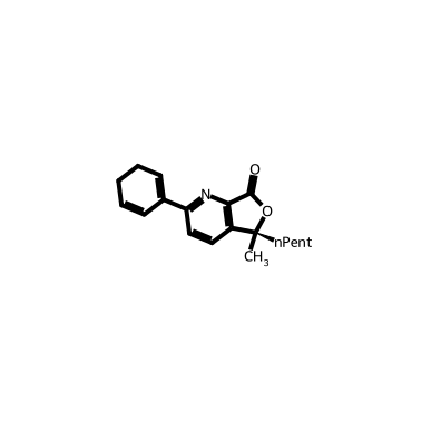 CCCCC[C@]1(C)OC(=O)c2nc(C3=CCCC=C3)ccc21